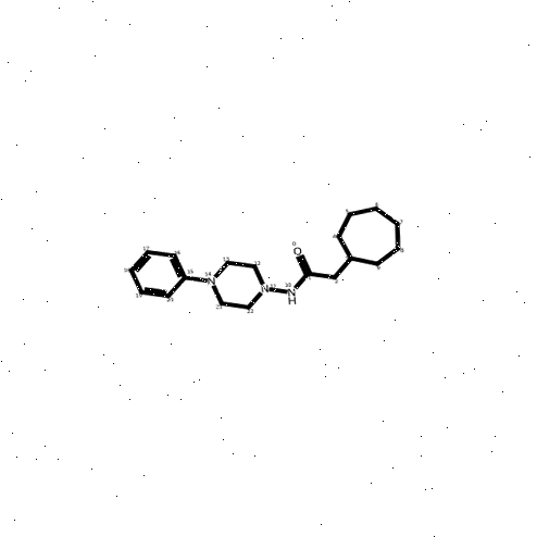 O=C(CC1CCCCCC1)NN1CCN(c2ccccc2)CC1